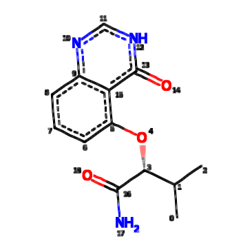 CC(C)[C@@H](Oc1cccc2nc[nH]c(=O)c12)C(N)=O